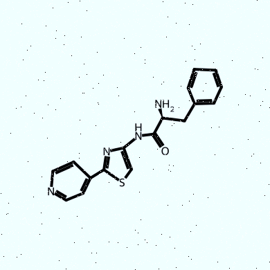 N[C@@H](Cc1ccccc1)C(=O)Nc1csc(-c2ccncc2)n1